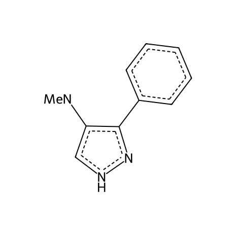 CNc1c[nH]nc1-c1ccccc1